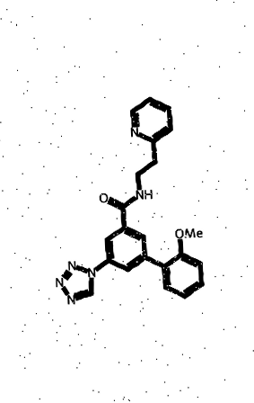 COc1ccccc1-c1cc(C(=O)NCCc2ccccn2)cc(-n2cnnn2)c1